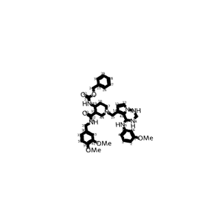 COc1cccc(NC2NCNn3ccc(CN4CCC(NC(=O)OCc5ccccc5)C(C(=O)NCc5ccc(OC)c(OC)c5)C4)c32)c1